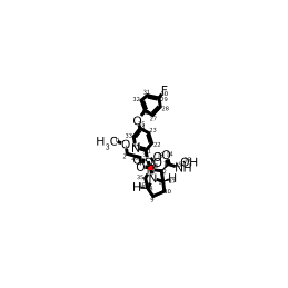 COCCOC(=O)N1[C@@H]2CC[C@H]1[C@H](C(=O)NO)N(S(=O)(=O)c1ccc(Oc3ccc(F)cc3)cn1)C2